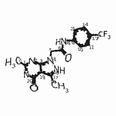 Cc1nc2n(CC(=O)Nc3ccc(C(F)(F)F)cc3)[nH]c(C)c-2c(=O)n1